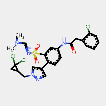 CN(C)/C=N/S(=O)(=O)c1cc(NC(=O)Cc2ccccc2Cl)ccc1-c1cnn(CC2CC2(Cl)Cl)c1